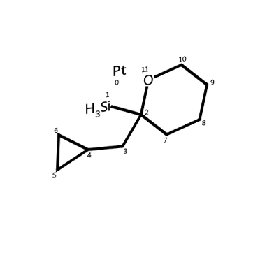 [Pt].[SiH3]C1(CC2CC2)CCCCO1